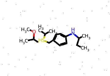 CCC(C)Nc1ccc(C[SH](CC(C)OC)C(C)C)cc1